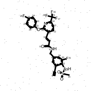 C#Cc1cc(CNC(=O)C=Cc2ccc(C(F)(F)F)nc2Oc2ccc(F)cc2)cc(F)c1[AsH]S(C)(=O)=O